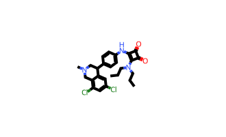 CCCN(CCC)c1c(Nc2ccc(C3CN(C)Cc4c(Cl)cc(Cl)cc43)cc2)c(=O)c1=O